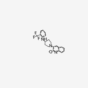 [O]c1nc2ccccc2cc1N1CCC(Nc2ccccc2C(F)(F)F)CC1